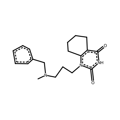 CN(CCCn1c2c(c(=O)[nH]c1=O)CCCC2)Cc1ccccc1